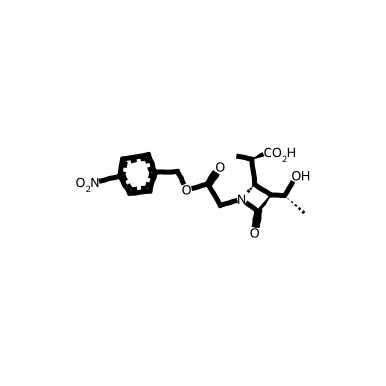 C[C@@H](O)[C@H]1C(=O)N(CC(=O)OCc2ccc([N+](=O)[O-])cc2)[C@@H]1[C@@H](C)C(=O)O